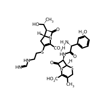 CC1=C(C(=O)O)N2C(=O)[C@@H](NC(=O)[C@H](N)c3ccccc3)[C@H]2SC1.C[C@@H](O)[C@H]1C(=O)N2C(C(=O)O)=C(SCCNC=N)C[C@H]12.O